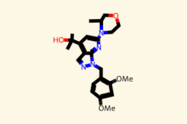 COc1ccc(Cn2ncc3c(C(C)(C)O)cc(N4CCOCC4C)nc32)c(OC)c1